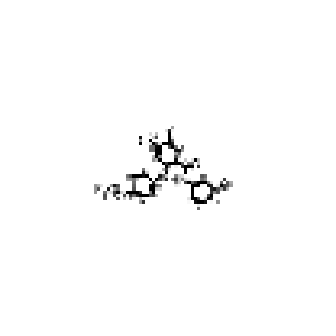 Cc1cc(C(=O)Nc2ccc[n+]([O-])c2)c(Oc2ccc(OC(F)(F)F)cc2)cc1Cl